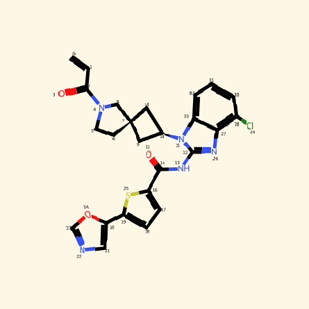 C=CC(=O)N1CC[C@]2(C1)C[C@H](n1c(NC(=O)c3ccc(-c4cnco4)s3)nc3c(Cl)cccc31)C2